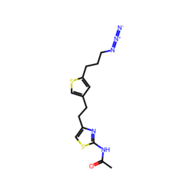 CC(=O)Nc1nc(CCc2csc(CCCN=[N+]=[N-])c2)cs1